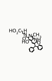 Cc1nc(C(=O)NCCC(=O)O)c(O)c2cc(C(c3ccccc3)c3ccccc3)c(=O)[nH]c12